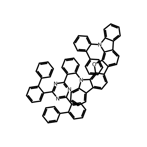 c1ccc(-c2ccccc2-c2nc(-c3ccccc3-c3ccccc3)nc(-c3ccccc3-n3c4ccccc4c4ccc5c6ccc7c8ccccc8n(-c8ccccc8-c8ccccc8)c7c6oc5c43)n2)cc1